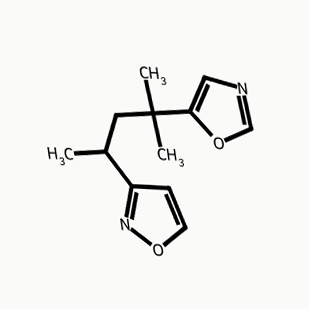 CC(CC(C)(C)c1cnco1)c1ccon1